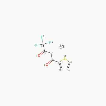 O=C(CC(=O)C(F)(F)F)c1cccs1.[Ag]